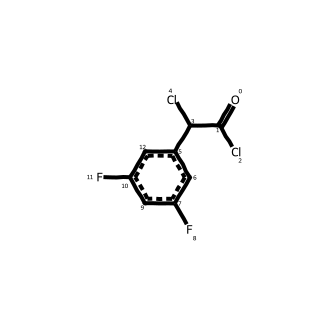 O=C(Cl)C(Cl)c1cc(F)cc(F)c1